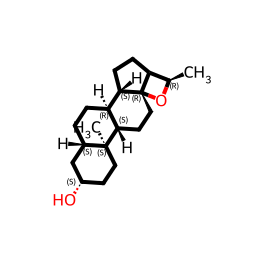 C[C@H]1O[C@]23CC[C@H]4[C@@H](CC[C@H]5C[C@@H](O)CC[C@@]54C)[C@@H]2CCC13